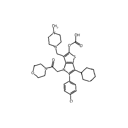 CN1CCN(Cc2c(OC(=O)O)sc3c(C4CCCCC4)c(-c4ccc(Cl)cc4)n(CC(=O)N4CCOCC4)c23)CC1